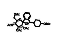 COC1CCC(=Cc2ccccc2C2(O)O[C@H](COC(C)=O)[C@@H](OC(C)=O)[C@H](OC(C)=O)[C@H]2OC(C)=O)CC1